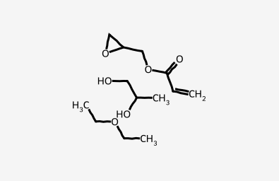 C=CC(=O)OCC1CO1.CC(O)CO.CCOCC